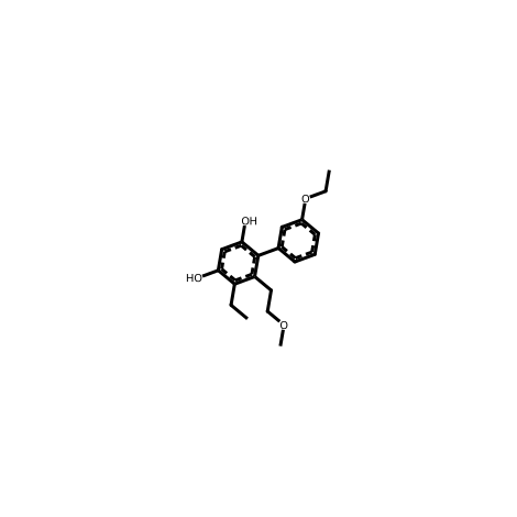 CCOc1cccc(-c2c(O)cc(O)c(CC)c2CCOC)c1